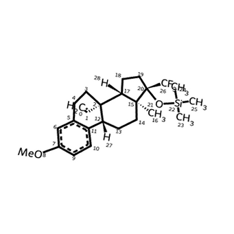 C=C[C@@]12CCc3cc(OC)ccc3[C@H]1CC[C@@]1(C)[C@H]2CC[C@@]1(O[Si](C)(C)C)C(F)(F)F